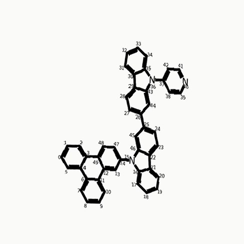 c1ccc2c(c1)c1ccccc1c1cc(-n3c4ccccc4c4ccc(-c5ccc6c7ccccc7n(-c7ccncc7)c6c5)cc43)ccc21